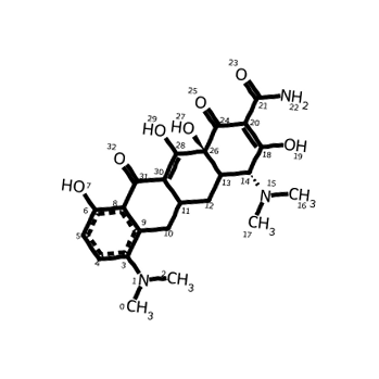 CN(C)c1ccc(O)c2c1CC1CC3[C@@H](N(C)C)C(O)=C(C(N)=O)C(=O)[C@@]3(O)C(O)=C1C2=O